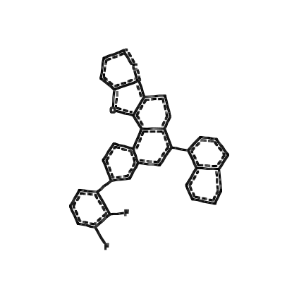 Fc1cccc(-c2ccc3c(c2)cc(-c2cccc4ccccc24)c2ccc4c5ccccc5oc4c23)c1F